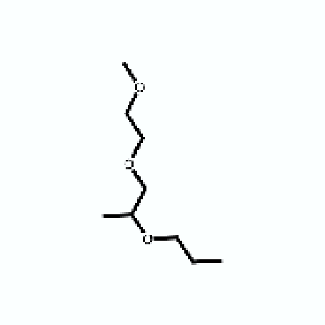 CCCOC(C)COCCOC